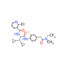 CCc1ncccc1C(=O)NC(C(=O)Nc1ccc(CC(=O)N(C)CC(F)(F)F)cc1F)C(C1CC1)C1CC1